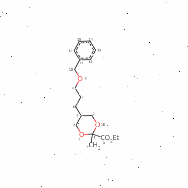 CCOC(=O)C1(C)OCC(CCCOCc2ccccc2)CO1